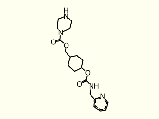 O=C(NCc1ccccn1)OC1CCC(COC(=O)N2CCNCC2)CC1